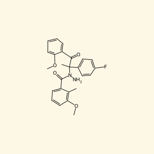 COc1ccccc1C(=O)C(C)(c1ccc(F)cc1)N(N)C(=O)c1cccc(OC)c1C